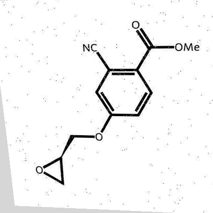 COC(=O)c1ccc(OC[C@H]2CO2)cc1C#N